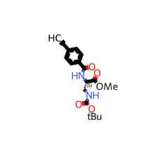 C#Cc1ccc(C(=O)N[C@@H](CNC(=O)OC(C)(C)C)C(=O)OC)cc1